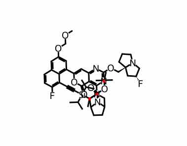 COCOc1cc(-c2cc3nc(OC[C@@]45CCCN4C[C@H](F)C5)nc(N4CC5CCC(C4)N5C(=O)OC(C)(C)C)c3c(=O)o2)c2c(C#C[Si](C(C)C)(C(C)C)C(C)C)c(F)ccc2c1